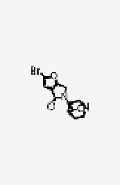 O=C1c2cc(Br)oc2CN1C1CN2CCC1CC2